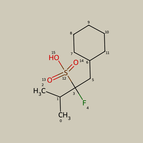 CC(C)C(F)(CC1CCCCC1)S(=O)(=O)O